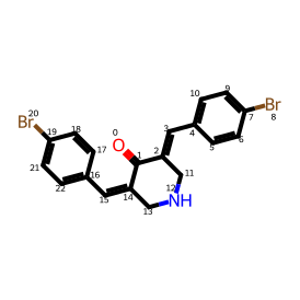 O=C1C(=Cc2ccc(Br)cc2)CNCC1=Cc1ccc(Br)cc1